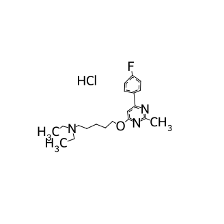 CCN(CC)CCCCCOc1cc(-c2ccc(F)cc2)nc(C)n1.Cl